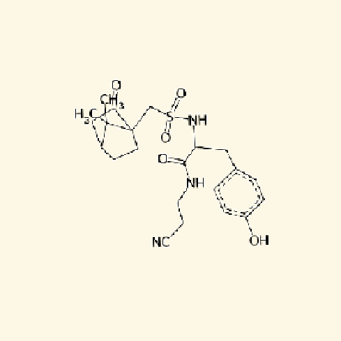 CC1(C)C2CCC1(CS(=O)(=O)NC(Cc1ccc(O)cc1)C(=O)NCCC#N)C(=O)C2